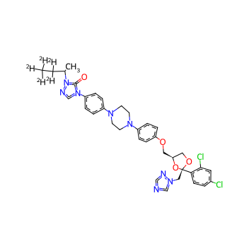 [2H]C([2H])([2H])C([2H])([2H])C(C)n1ncn(-c2ccc(N3CCN(c4ccc(OC[C@H]5CO[C@](Cn6cncn6)(c6ccc(Cl)cc6Cl)O5)cc4)CC3)cc2)c1=O